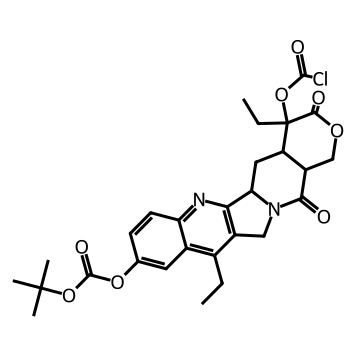 CCc1c2c(nc3ccc(OC(=O)OC(C)(C)C)cc13)C1CC3C(COC(=O)C3(CC)OC(=O)Cl)C(=O)N1C2